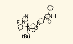 CN1CCN(c2c(F)cccc2C2SC(CC(=O)N3CCC(n4cc(-c5ccccc5)[nH]c4=O)CC3)C(=O)N2CCC(C)(C)C)CC1